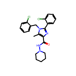 Cc1c(C(=O)NN2CCCCC2)nc(-c2ccccc2Cl)n1Cc1ccccc1Cl